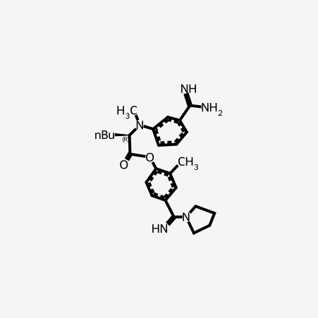 CCCC[C@H](C(=O)Oc1ccc(C(=N)N2CCCC2)cc1C)N(C)c1cccc(C(=N)N)c1